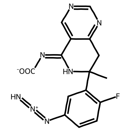 CC1(c2cc(N=[N+]=N)ccc2F)Cc2ncncc2C(=NC(=O)[O-])N1